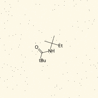 CCC(C)(C)NC(=O)C(C)(C)C